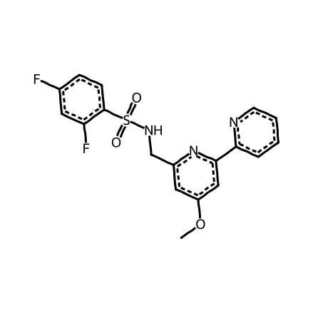 COc1cc(CNS(=O)(=O)c2ccc(F)cc2F)nc(-c2ccccn2)c1